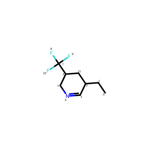 CCC1C=NCC(C(F)(F)F)C1